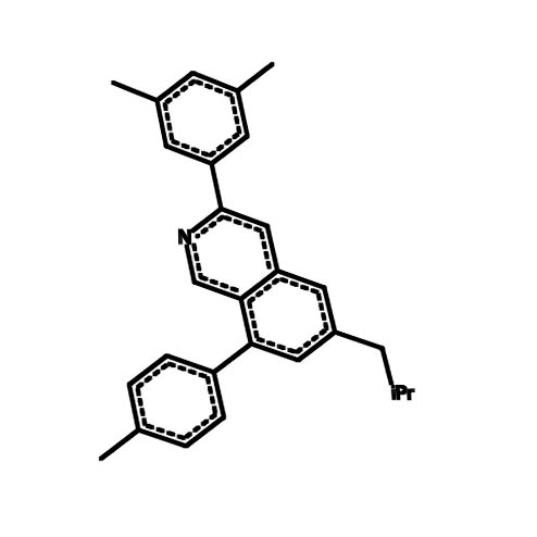 Cc1ccc(-c2cc(CC(C)C)cc3cc(-c4cc(C)cc(C)c4)ncc23)cc1